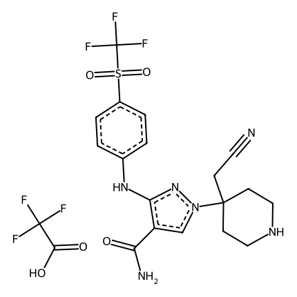 N#CCC1(n2cc(C(N)=O)c(Nc3ccc(S(=O)(=O)C(F)(F)F)cc3)n2)CCNCC1.O=C(O)C(F)(F)F